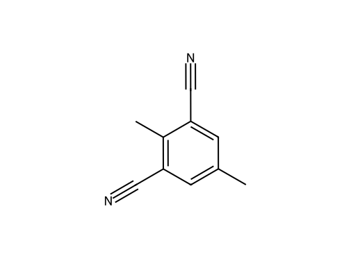 Cc1cc(C#N)c(C)c(C#N)c1